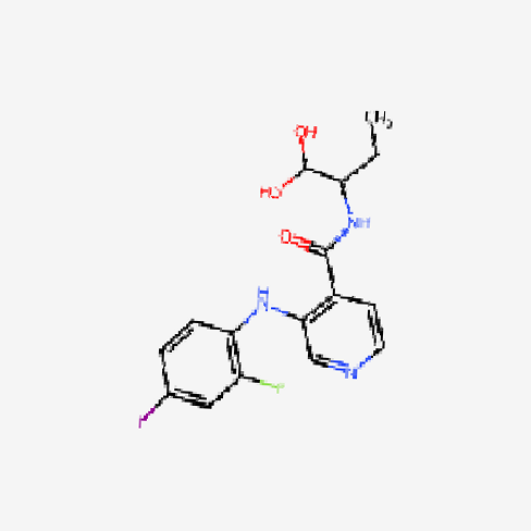 CCC(NC(=O)c1ccncc1Nc1ccc(I)cc1F)C(O)O